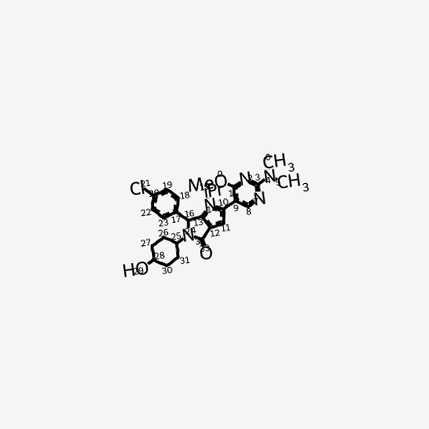 COc1nc(N(C)C)ncc1-c1cc2c(n1C(C)C)C(c1ccc(Cl)cc1)N(C1CCC(O)CC1)C2=O